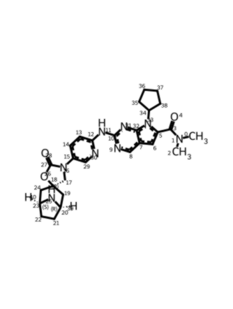 CN(C)C(=O)c1cc2cnc(Nc3ccc(N4C[C@@]5(C[C@H]6CC[C@@H](C5)N6)OC4=O)cn3)nc2n1C1CCCC1